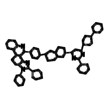 c1ccc(-c2ccc(-c3cc(-c4ccc5cc(-c6ccc(-c7nc8ccccc8c8ccc9c(nc(-c%10ccccc%10)n9-c9ccccc9)c78)cc6)ccc5c4)nc(-c4ccccc4)n3)cc2)cc1